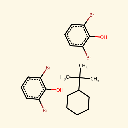 CC(C)(C)C1CCCCC1.Oc1c(Br)cccc1Br.Oc1c(Br)cccc1Br